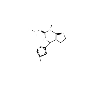 CN1C2=NCCC2[C@@](C)(c2cc(Br)cs2)N/C1=N\BC=O